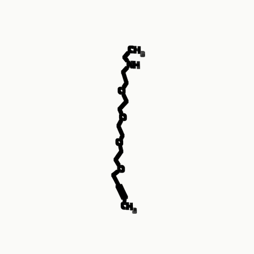 CC#CCOCCOCCOCCOCCNCC